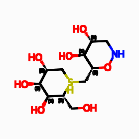 OC[C@@H]1[C@@H](O)[C@@H](O)[C@H](O)C[SH]1C[C@H]1ONC[C@@H](O)[C@@H]1O